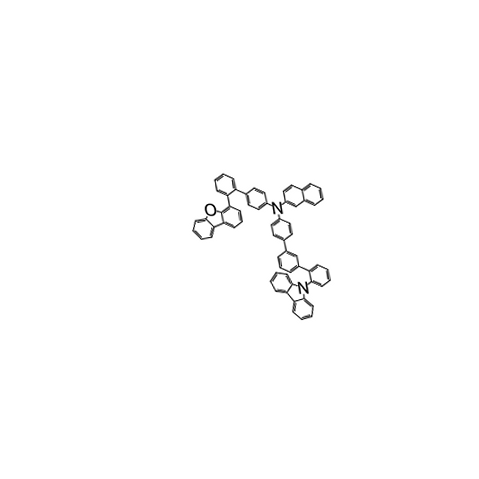 c1cc(-c2ccc(N(c3ccc(-c4ccccc4-c4cccc5c4oc4ccccc45)cc3)c3ccc4ccccc4c3)cc2)cc(-c2ccccc2-n2c3ccccc3c3ccccc32)c1